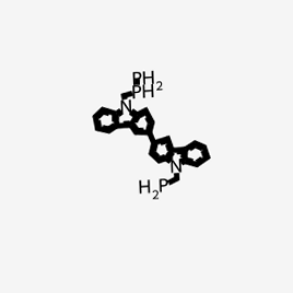 PCn1c2ccccc2c2cc(-c3ccc4c(c3)c3ccccc3n4CPP)ccc21